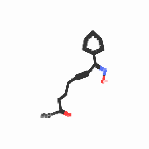 COC(=O)CCCC#CC(=NO)c1ccccc1